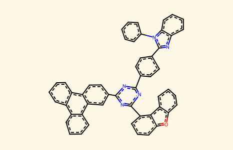 c1ccc(-n2c(-c3ccc(-c4nc(-c5ccc6c7ccccc7c7ccccc7c6c5)nc(-c5cccc6oc7ccccc7c56)n4)cc3)nc3ccccc32)cc1